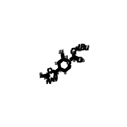 Cc1nnc(C2CCN(C(=O)OC(C)(C)C)C(C)C2)o1